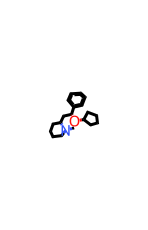 CN1CCCCC1CC(OC1CCCC1)c1ccccc1